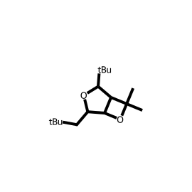 CC(C)(C)CC1OC(C(C)(C)C)C2C1OC2(C)C